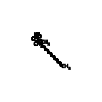 CCCCCCCCCCCCCCCCC(CC)(CC)C1ON=NC1=O